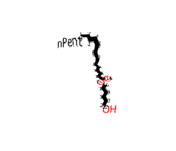 CCCCC/C=C\C/C=C\CCCCCCCC(=O)OCCCCCCO